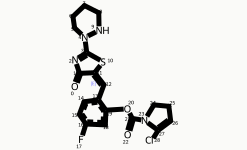 O=C1N=C(N2CCCCN2)S/C1=C/c1ccc(F)cc1OC(=O)N1CCC=C1Cl